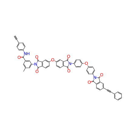 C#Cc1ccc(NC(=O)c2cc(C)cc(N3C(=O)c4ccc(Oc5ccc6c(c5)C(=O)N(c5ccc(Oc7ccc(N8C(=O)c9ccc(C#Cc%10ccccc%10)cc9C8=O)cc7)cc5)C6=O)cc4C3=O)c2)cc1